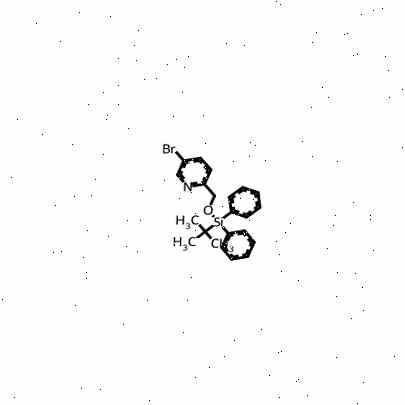 CC(C)(C)[Si](OCc1ccc(Br)cn1)(c1ccccc1)c1ccccc1